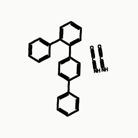 N=C=O.N=C=O.c1ccc(-c2ccc(-c3ccccc3-c3ccccc3)cc2)cc1